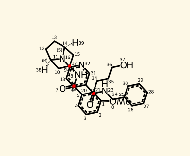 COc1cccc(C(=O)N[C@H]2C[C@H]3CC[C@@H](C2)N3c2ccc(C(=O)NCc3ccccc3)cn2)c1CCCO